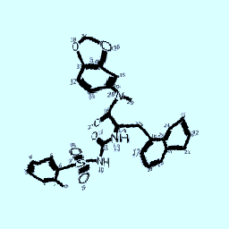 Cc1ccccc1S(=O)(=O)NC(=O)NC(Cc1cccc2ccccc12)C(=O)N(C)c1ccc2c(c1)OCO2